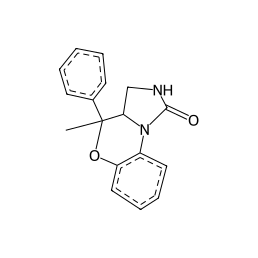 CC1(c2ccccc2)Oc2ccccc2N2C(=O)NCC21